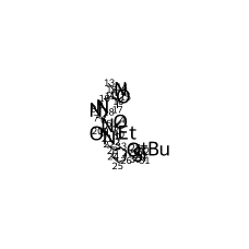 CCC1(C)C(=O)N(c2cnn(Cc3c(C)noc3C)c2)C(=O)N1Cc1cccc(O[Si](C)(C)C(C)(C)C)c1